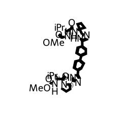 COC(=O)N[C@H](C(=O)NC1(c2ncc(-c3ccc(-c4ccc(-c5cnc([C@@H]6CCCN6C(=O)[C@@H](NC(=O)OC)C(C)C)[nH]5)cc4)cc3)[nH]2)CCC1)C(C)C